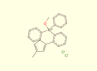 C[O][Ti+2]([c]1ccccc1)([c]1ccccc1)[c]1ccccc1C1=CC(C)=CC1.[Cl-].[Cl-]